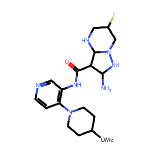 COC1CCN(c2ccncc2NC(=O)C2C(N)NN3CC(F)CNC23)CC1